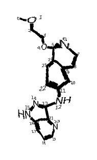 COCCOc1nccc2cc(Nc3n[nH]c4cccnc34)ccc12